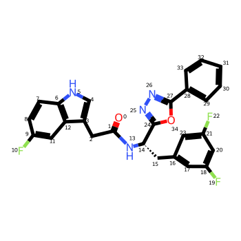 O=C(Cc1c[nH]c2ccc(F)cc12)N[C@@H](Cc1cc(F)cc(F)c1)c1nnc(-c2ccccc2)o1